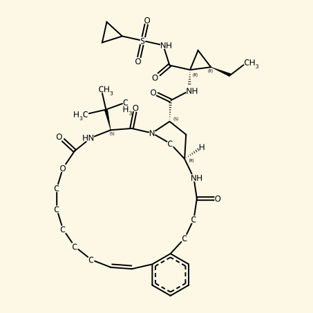 CC[C@@H]1C[C@]1(NC(=O)[C@@H]1C[C@@H]2CN1C(=O)[C@H](C(C)(C)C)NC(=O)OCCCCCC=Cc1ccccc1CCC(=O)N2)C(=O)NS(=O)(=O)C1CC1